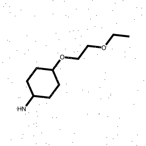 CCOCCOC1CCC([NH])CC1